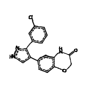 O=C1COc2ccc(-c3c[nH]nc3-c3cccc(Cl)c3)cc2N1